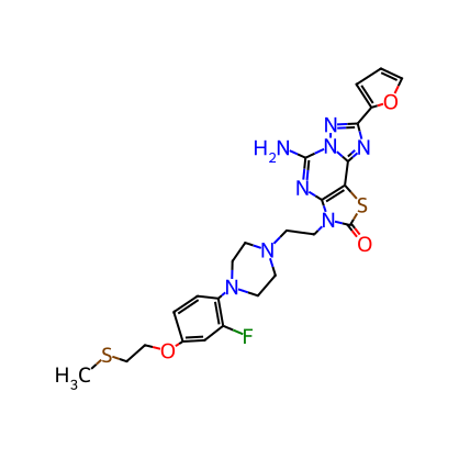 CSCCOc1ccc(N2CCN(CCn3c(=O)sc4c3nc(N)n3nc(-c5ccco5)nc43)CC2)c(F)c1